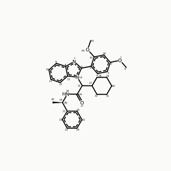 COc1ccc(-c2nc3ccccc3n2C(C(=O)N[C@H](C)c2ccccc2)C2CCCCC2)c(OC)c1